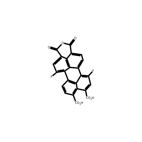 O=C(O)c1ccc2c3c(F)cc4c5c(ccc(c6c(F)cc(C(=O)O)c1c26)c53)C(=O)OC4=O